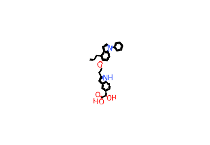 CCCc1c(OCCc2cc3cc(C(O)C(=O)O)ccc3[nH]2)ccc2c1ccn2-c1ccccc1